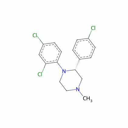 CN1CCN(c2ccc(Cl)cc2Cl)[C@H](c2ccc(Cl)cc2)C1